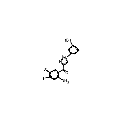 CC(C)(C)c1cccc(-n2cc(C(=O)c3cc(F)c(F)cc3N)nn2)c1